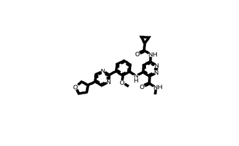 CNC(=O)c1nnc(NC(=O)C2CC2)cc1Nc1cccc(-c2ncc(C3CCOC3)cn2)c1OC